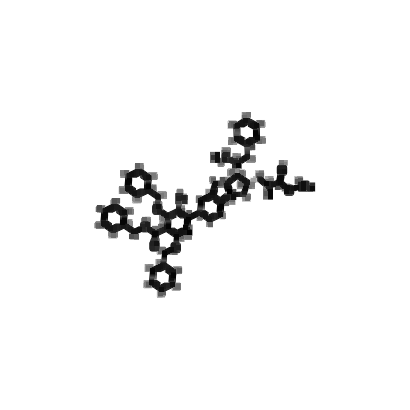 CCc1c(-c2ccc3c(c2)cc2n3C[C@@H](CNC(=O)OC(C)(C)C)[C@H]2N(C)Cc2ccccc2)nc(OCc2ccccc2)c(C(=O)OCc2ccccc2)c1OCc1ccccc1